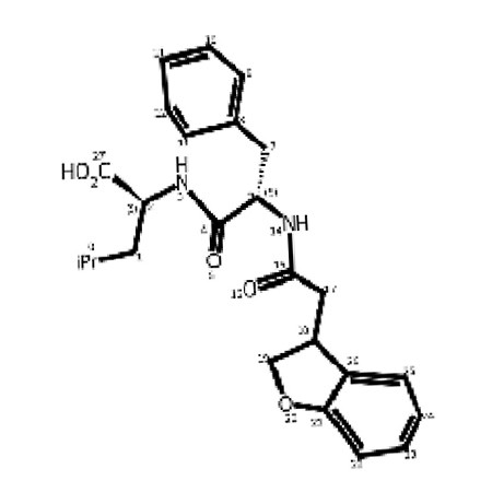 CC(C)C[C@H](NC(=O)[C@H](Cc1ccccc1)NC(=O)CC1COc2ccccc21)C(=O)O